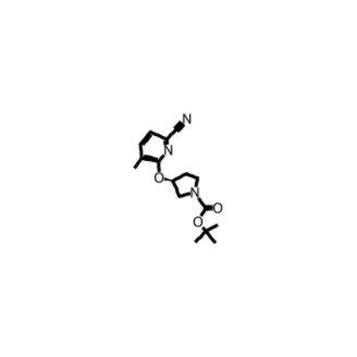 Cc1ccc(C#N)nc1O[C@H]1CCN(C(=O)OC(C)(C)C)C1